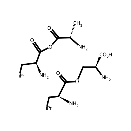 CC(C)C[C@H](N)C(=O)OC(=O)[C@H](C)N.CC(C)C[C@H](N)C(=O)OC[C@H](N)C(=O)O